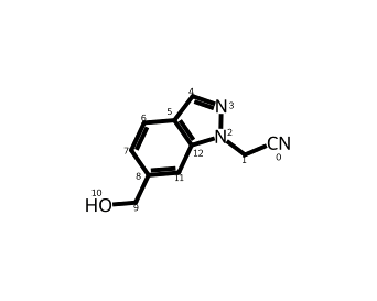 N#CCn1ncc2ccc(CO)cc21